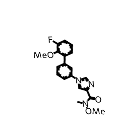 COc1c(F)cccc1-c1cccc(-n2cnc(C(=O)N(C)OC)c2)c1